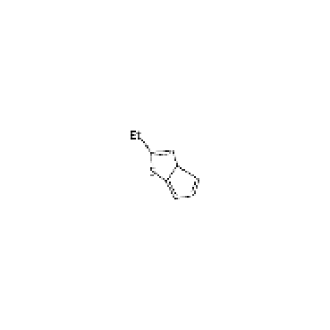 CCC1=CC2C=CC=C2S1